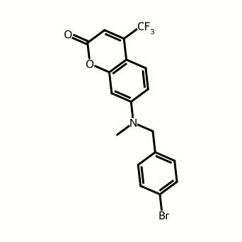 CN(Cc1ccc(Br)cc1)c1ccc2c(C(F)(F)F)cc(=O)oc2c1